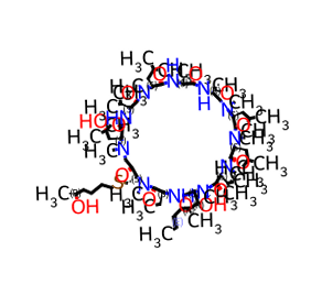 C/C=C/C[C@@H](C)[C@@H](O)[C@H]1C(=O)N[C@@H](CC)C(=O)N(C)[C@H](CSCCCC[C@@H](C)O)C(=O)CN(C)[C@@H](CC(C)(C)O)C(=O)N[C@@H](C(C)C)C(=O)N(C)[C@@H](CC(C)C)C(=O)N[C@@H](C)C(=O)N[C@H](C)C(=O)N(C)[C@@H](CC(C)C)C(=O)N(C)[C@@H](CC(C)C)C(=O)N(C)[C@@H](C(C)C)C(=O)N1C